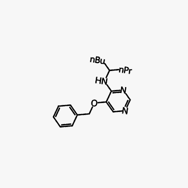 CCCCC(CCC)Nc1ncncc1OCc1ccccc1